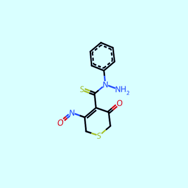 NN(C(=S)C1=C(N=O)CSCC1=O)c1ccccc1